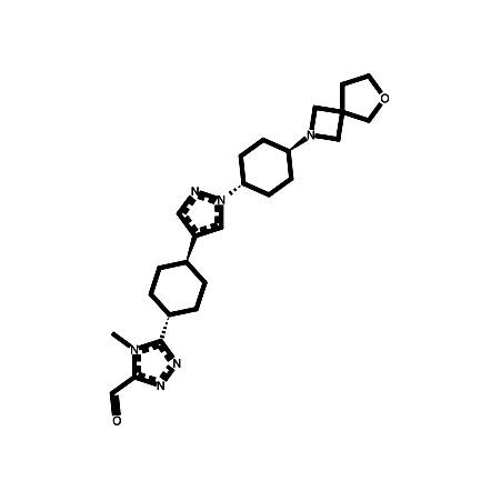 Cn1c(C=O)nnc1[C@H]1CC[C@H](c2cnn([C@H]3CC[C@H](N4CC5(CCOC5)C4)CC3)c2)CC1